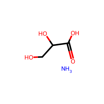 N.O=C(O)C(O)CO